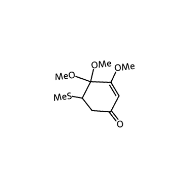 COC1=CC(=O)CC(SC)C1(OC)OC